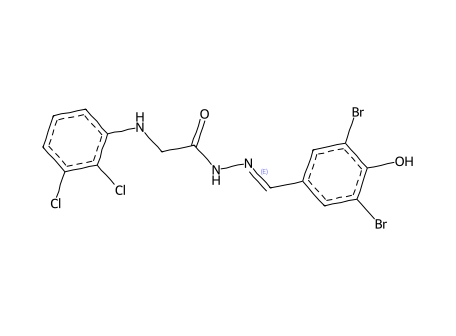 O=C(CNc1cccc(Cl)c1Cl)N/N=C/c1cc(Br)c(O)c(Br)c1